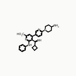 N=C(c1c(-c2ccc(N3CCC(N)CC3)nc2)cc(C(=O)O)nc1Nc1ccccc1)C1CCC1